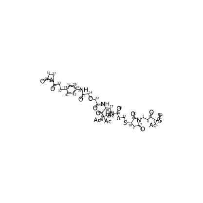 CC(=O)C1(C(=O)CCN2C(=O)CC(SCCC(=O)NCC(NC(=O)COCC(=O)Nc3ccc(CCC(=O)N4CCC4=O)cc3)C(=O)C(C(C)=O)(C(C)=O)C(C)=O)C2=O)SS1